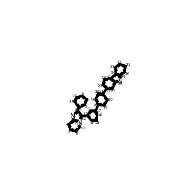 c1ccc(-c2nc3ccccn3c2-c2cccc(-c3ccc(-c4ccc5c(c4)sc4ccccc45)cc3)c2)cc1